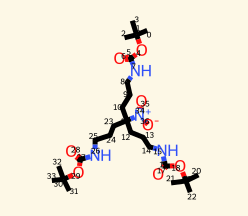 CC(C)(C)OC(=O)NCCCC(CCCNC(=O)OC(C)(C)C)(CCCNC(=O)OC(C)(C)C)[N+](=O)[O-]